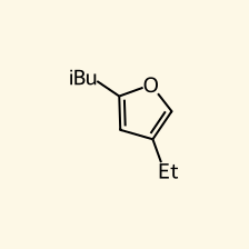 CCc1coc(C(C)CC)c1